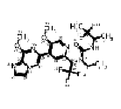 CCN(C(=O)NC(C)C(C)(F)F)[C@@H](c1cc(-c2cn3ccnc3c(OC)n2)c(OC)cn1)C(F)(F)F